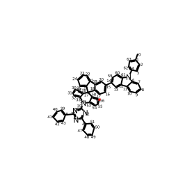 Cc1ccc(-n2c3ccccc3c3cc(-c4ccc5c(c4)-c4ccccc4C54c5ccccc5N(c5nc(-c6ccccc6)nc(-c6ccccc6)n5)c5ccccc54)ccc32)cc1